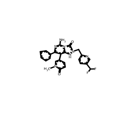 Cn1cc(-c2c(-c3ccccc3)nc(N)[n+]3c(=O)n(Cc4ccc(C(F)F)cn4)[nH]c23)ccc1=O